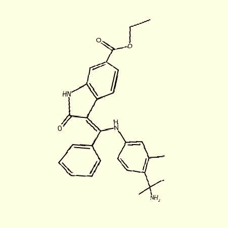 CCOC(=O)c1ccc2c(c1)NC(=O)C2=C(Nc1ccc(C(C)(C)N)c(C)c1)c1ccccc1